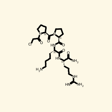 N=C(N)NCCC[C@H](NC(=O)[C@H](CCCCN)NC(=O)[C@@H]1CCCN1C(=O)[C@@H]1CCCN1C(=O)CCl)C(N)=O